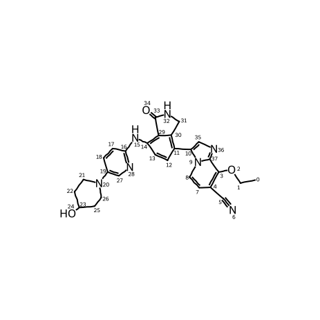 CCOc1c(C#N)ccn2c(-c3ccc(Nc4ccc(N5CCC(O)CC5)cn4)c4c3CNC4=O)cnc12